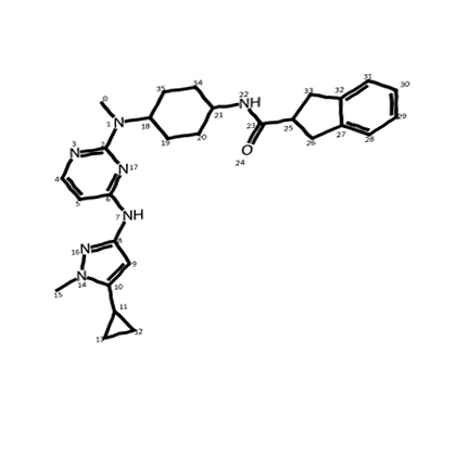 CN(c1nccc(Nc2cc(C3CC3)n(C)n2)n1)C1CCC(NC(=O)C2Cc3ccccc3C2)CC1